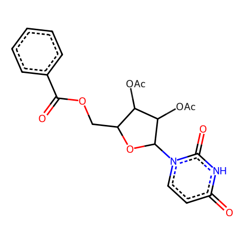 CC(=O)OC1C(COC(=O)c2ccccc2)OC(n2ccc(=O)[nH]c2=O)C1OC(C)=O